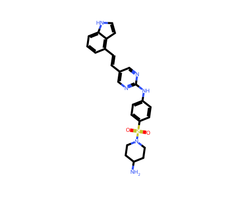 NC1CCN(S(=O)(=O)c2ccc(Nc3ncc(C=Cc4cccc5[nH]ccc45)cn3)cc2)CC1